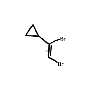 Br/C=C(\Br)C1CC1